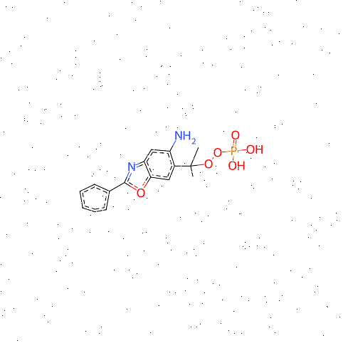 CC(C)(OOP(=O)(O)O)c1cc2oc(-c3ccccc3)nc2cc1N